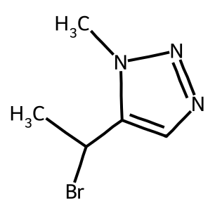 CC(Br)c1cnnn1C